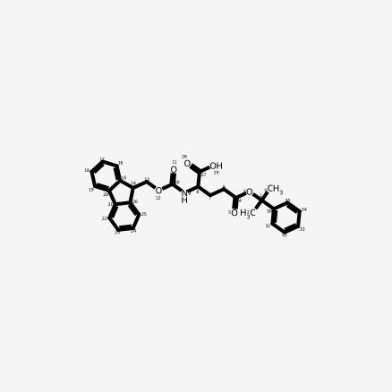 CC(C)(OC(=O)CCC(NC(=O)OCC1c2ccccc2-c2ccccc21)C(=O)O)c1ccccc1